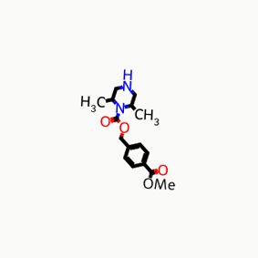 COC(=O)c1ccc(COC(=O)N2C(C)CNCC2C)cc1